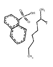 CCCCCCC(C)F.O=S(=O)(O)c1cccc2ccccc12